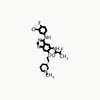 C=C(F)C(=O)Nc1cc2c(Nc3ccc(F)c(Cl)c3)ncnc2cc1OCC[C@H]1CCCN(C)C1